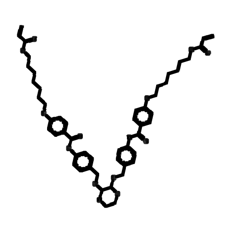 C=CC(=O)OCCCCCCCOc1ccc(C(=O)Oc2ccc(COC3OCCOC3OCc3ccc(OC(=O)c4ccc(OCCCCCCCOC(=O)C=C)cc4)cc3)cc2)cc1